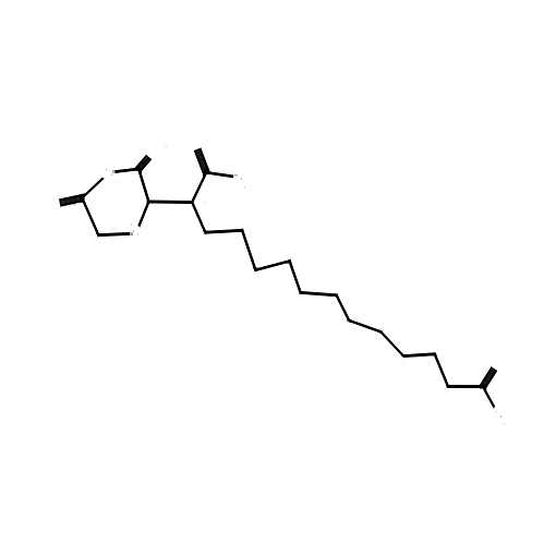 NC(=O)CCCCCCCCCCCC(C(N)=O)C1NCC(=O)NC1=O